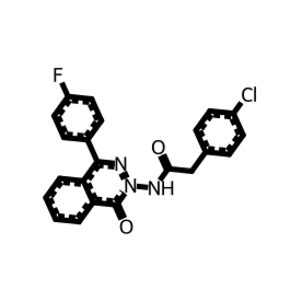 O=C(Cc1ccc(Cl)cc1)Nn1nc(-c2ccc(F)cc2)c2ccccc2c1=O